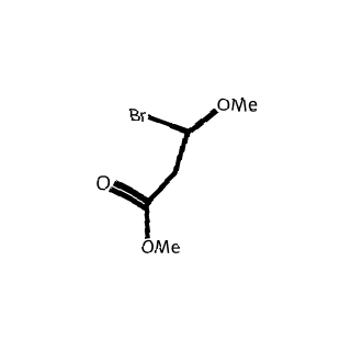 COC(=O)CC(Br)OC